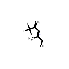 C=C(/C=C(\C)CC)C(F)(F)F